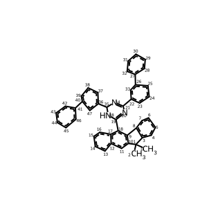 CC1(C)c2ccccc2-c2c1cc1ccccc1c2C1=NC(c2cccc(-c3ccccc3)c2)=NC(c2cccc(-c3ccccc3)c2)N1